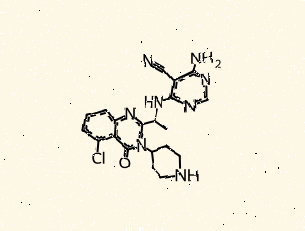 CC(Nc1ncnc(N)c1C#N)c1nc2cccc(Cl)c2c(=O)n1C1CCNCC1